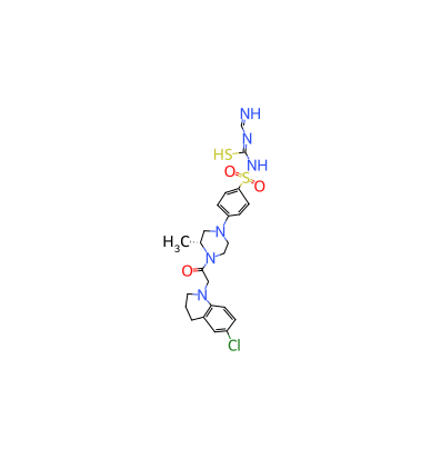 C[C@@H]1CN(c2ccc(S(=O)(=O)N/C(S)=N/C=N)cc2)CCN1C(=O)CN1CCCc2cc(Cl)ccc21